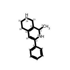 CC1NC(c2ccccc2)=CC2=C1CNCC2